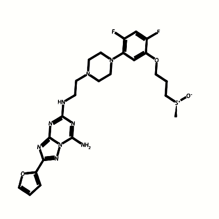 C[S@+]([O-])CCCOc1cc(N2CCN(CCNc3nc(N)n4nc(-c5ccco5)nc4n3)CC2)c(F)cc1F